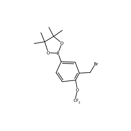 CC1(C)OB(c2ccc(OC(F)(F)F)c(CBr)c2)OC1(C)C